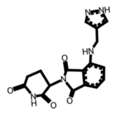 O=C1CCC(N2C(=O)c3cccc(NCc4cn[nH]c4)c3C2=O)C(=O)N1